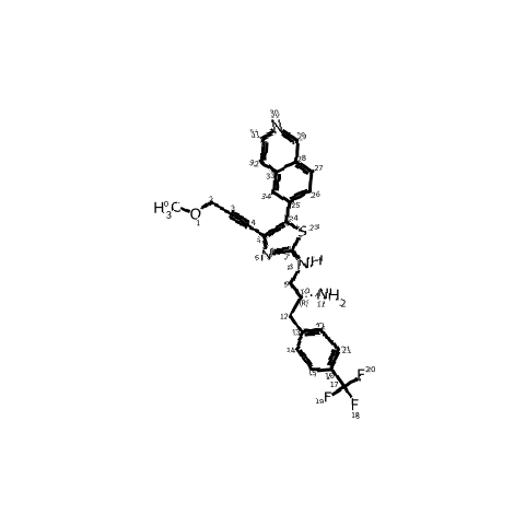 COCC#Cc1nc(NC[C@H](N)Cc2ccc(C(F)(F)F)cc2)sc1-c1ccc2cnccc2c1